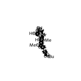 COC(=O)c1cc(Nc2ncc(Br)c(Nc3ccc(O)cc3N(C3CC3)S(C)(=O)=O)n2)c(OC)cc1N1CCC(N2CCN(C(=O)OC(C)(C)C)CC2)CC1